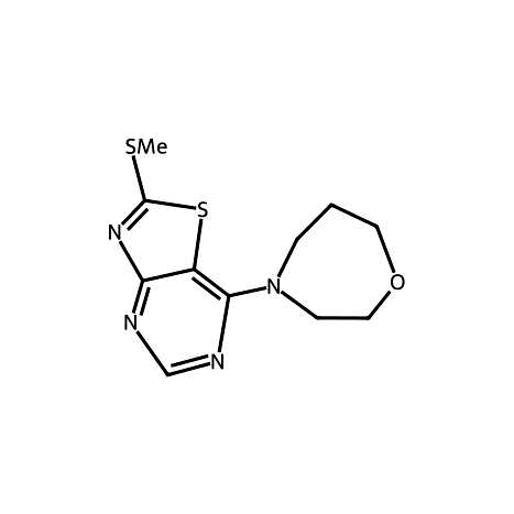 CSc1nc2ncnc(N3CCCOCC3)c2s1